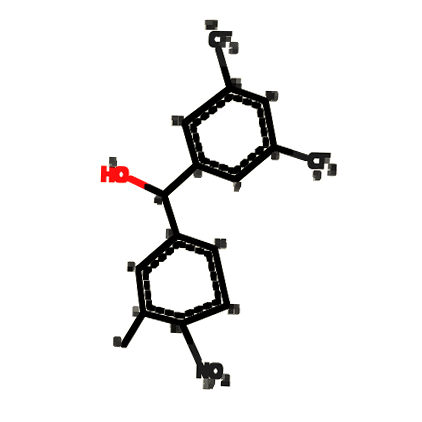 Cc1cc(C(O)c2cc(C(F)(F)F)cc(C(F)(F)F)c2)ccc1[N+](=O)[O-]